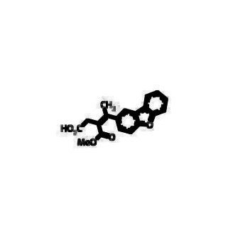 COC(=O)C(CC(=O)O)=C(C)c1ccc2oc3ccccc3c2c1